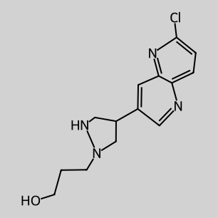 OCCCN1CC(c2cnc3ccc(Cl)nc3c2)CN1